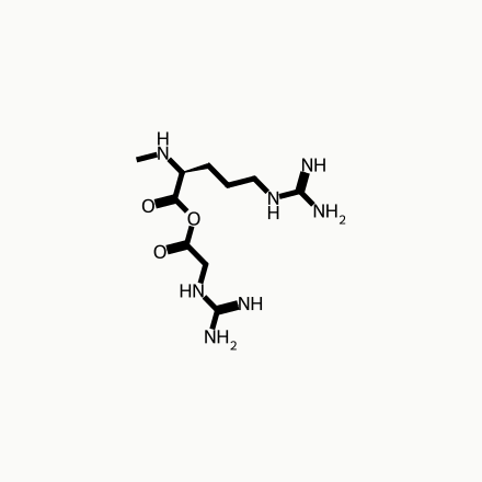 CN[C@@H](CCCNC(=N)N)C(=O)OC(=O)CNC(=N)N